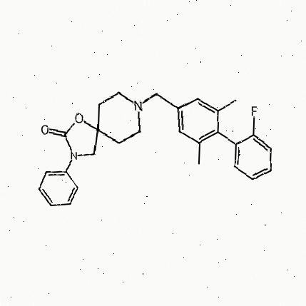 Cc1cc(CN2CCC3(CC2)CN(c2ccccc2)C(=O)O3)cc(C)c1-c1ccccc1F